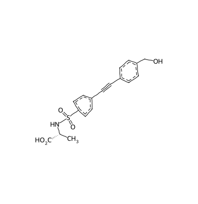 C[C@@H](NS(=O)(=O)c1ccc(C#Cc2ccc(CO)cc2)cc1)C(=O)O